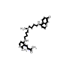 C=c1nccc(NCCCCN(C)CCCCNc2ccnc3cc(Cl)ccc23)/c1=C/C=C(\C)Cl